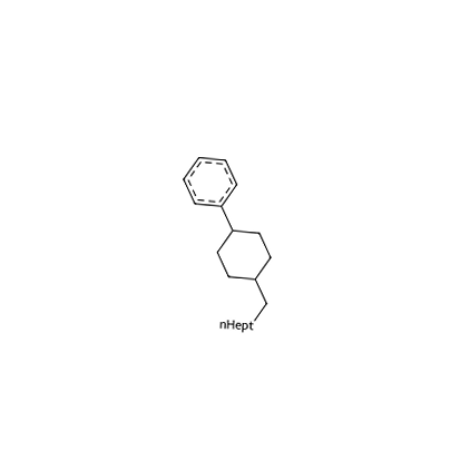 CCCCCCCCC1CCC(c2ccccc2)CC1